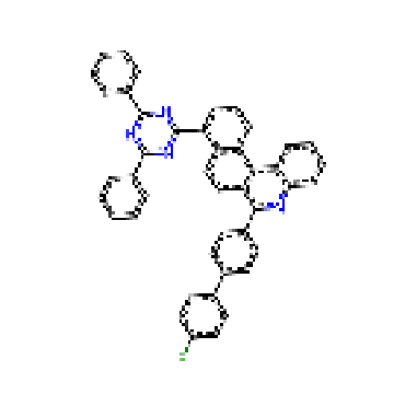 Fc1ccc(-c2ccc(-c3nc4ccccc4c4c3ccc3c(-c5nc(-c6ccccc6)nc(-c6ccccc6)n5)cccc34)cc2)cc1